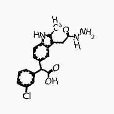 Cc1[nH]c2ccc(C(C(=O)O)c3cccc(Cl)c3)cc2c1CC(=O)NN